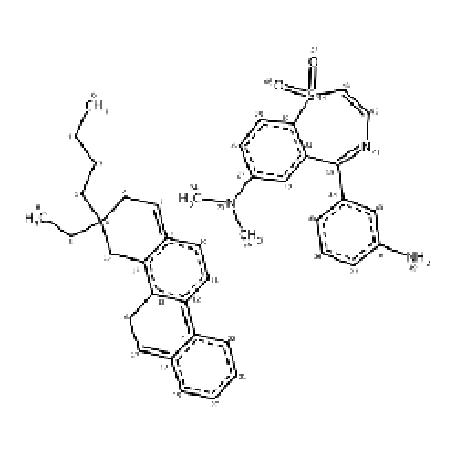 CCCCC1(CC)CC=c2ccc3c(c2C1)CC=c1ccccc1=3.CN(C)c1ccc2c(c1)C(c1cccc(N)c1)=NC=CS2(=O)=O